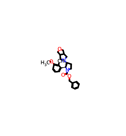 COc1cccc([C@H]2[C@@H](N3CC4COCC4C3)CCN2C(=O)OCc2ccccc2)c1C